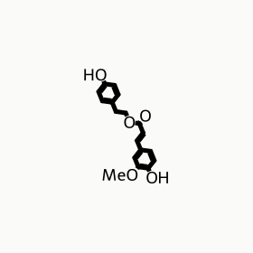 COc1cc(C=CC(=O)OCCc2ccc(O)cc2)ccc1O